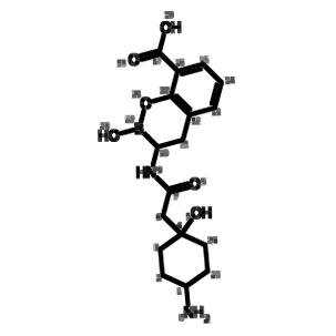 NC1CCC(O)(CC(=O)NC2Cc3cccc(C(=O)O)c3OB2O)CC1